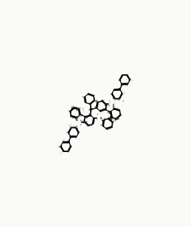 CC1(c2ccccc2)c2ccc3c(c2N(c2ccccc2)c2ccc4c(c21)c1ccccc1n4-c1ccc(-c2ccccc2)cc1)c1ccccc1n3-c1ccc(-c2ccccc2)cc1